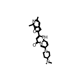 Cc1cc2cc(C3=CC(=O)N4C=C(N5CCC(N(C)C)CC5)C=CC4P3)oc2c(C)n1